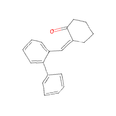 O=C1CCCCC1=Cc1ccccc1-c1ccccc1